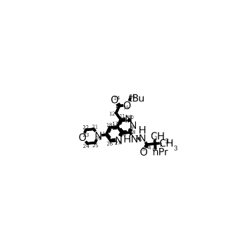 CCCC(C)(C)C(=O)NNc1nnc(CC(=O)OC(C)(C)C)c2cc(N3CCOCC3)cnc12